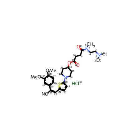 CCN(CC)CCN(C)C(=O)CCC(=O)OC1CCN(c2ccc(C=C(C#N)c3ccc(OC)c(OC)c3)s2)CC1.Cl